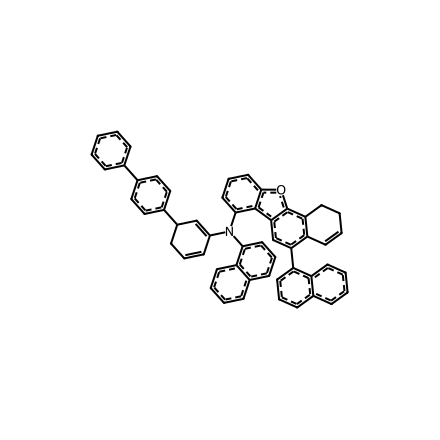 C1=Cc2c(-c3cccc4ccccc34)cc3c(oc4cccc(N(C5=CC(c6ccc(-c7ccccc7)cc6)CC=C5)c5cccc6ccccc56)c43)c2CC1